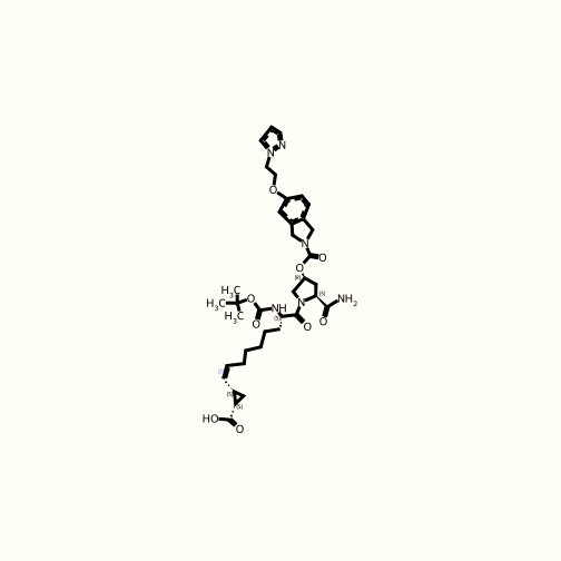 CC(C)(C)OC(=O)N[C@@H](CCCCC/C=C\[C@@H]1C[C@@H]1C(=O)O)C(=O)N1C[C@H](OC(=O)N2Cc3ccc(OCCn4cccn4)cc3C2)C[C@H]1C(N)=O